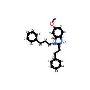 COc1ccc2nc(CCc3ccccc3)n(CCCc3ccccc3)c2c1